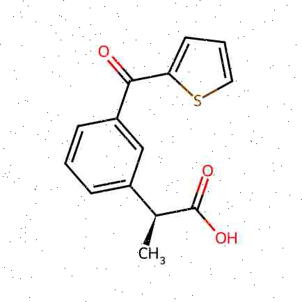 C[C@H](C(=O)O)c1cccc(C(=O)c2cccs2)c1